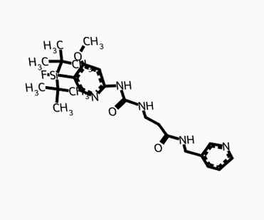 COc1cc(NC(=O)NCCC(=O)NCc2cccnc2)ncc1[Si](F)(C(C)(C)C)C(C)(C)C